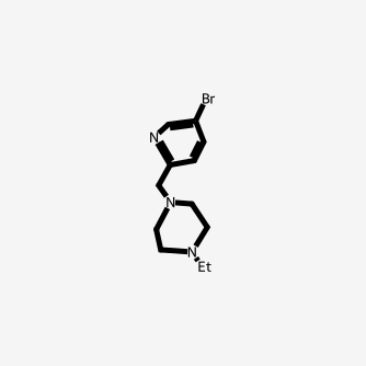 CCN1CCN(Cc2ccc(Br)cn2)CC1